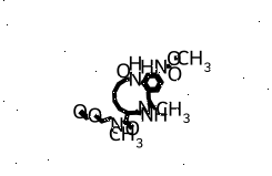 COC(=O)Nc1ccc2c(c1)NC(=O)CCCCC(C(=O)N(C)CCOC=O)c1nc-2c(C)[nH]1